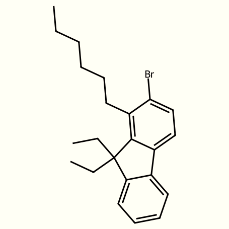 CCCCCCc1c(Br)ccc2c1C(CC)(CC)c1ccccc1-2